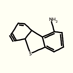 Nc1cccc2c1C1C=CC#CC1S2